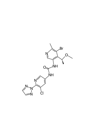 CO[C@@H](C)c1c(NC(=O)Nc2cnc(-n3nccn3)c(Cl)c2)cnc(C)c1Br